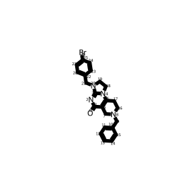 O=c1nc2n(c3c1CN(Cc1ccccc1)CC3)CCN2Cc1ccc(Br)cc1